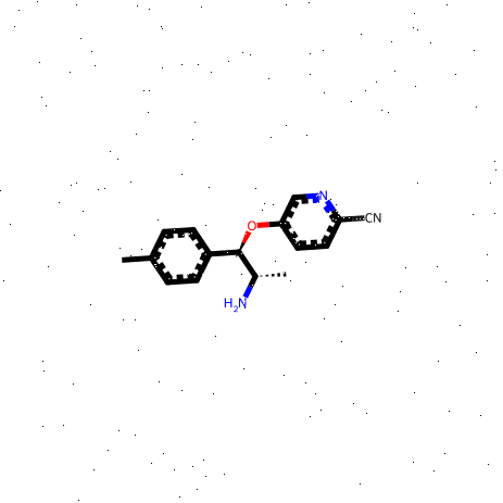 Cc1ccc([C@@H](Oc2ccc(C#N)nc2)[C@H](C)N)cc1